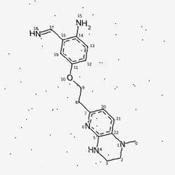 CN1CCNc2nc(CCOc3ccc(N)c(C=N)c3)ccc21